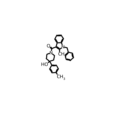 Cc1ccc(C2(O)CCN(C(=O)c3c(C)n(Cc4ccccc4)c4ccccc34)CC2)cc1